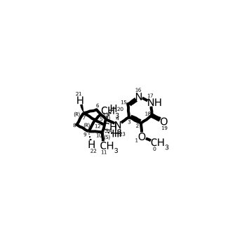 COc1c(N[C@@H]2C[C@H]3C[C@H]([C@@H]2C)C3(C)C)cn[nH]c1=O